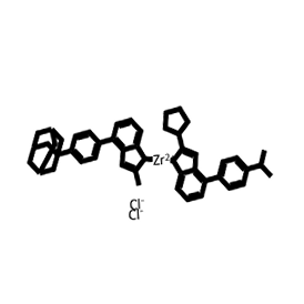 CC1=Cc2c(-c3ccc(C45CC6CC(CC(C6)C4)C5)cc3)cccc2[CH]1[Zr+2][CH]1C(C2CCCC2)=Cc2c(-c3ccc(C(C)C)cc3)cccc21.[Cl-].[Cl-]